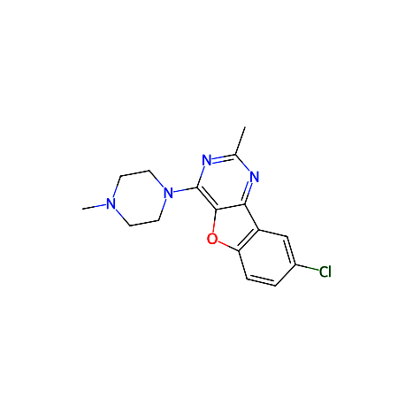 Cc1nc(N2CCN(C)CC2)c2oc3ccc(Cl)cc3c2n1